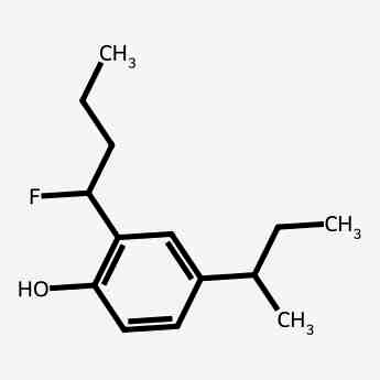 CCCC(F)c1cc(C(C)CC)ccc1O